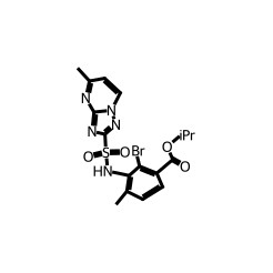 Cc1ccn2nc(S(=O)(=O)Nc3c(C)ccc(C(=O)OC(C)C)c3Br)nc2n1